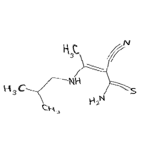 C/C(NCC(C)C)=C(\C#N)C(N)=S